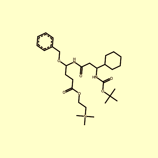 CC(C)(C)OC(=O)NC(CC(=O)NC(CCC(=O)OCC[Si](C)(C)C)OCc1ccccc1)C1CCCCC1